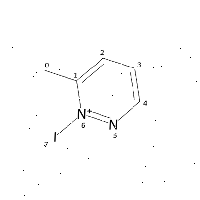 Cc1cccn[n+]1I